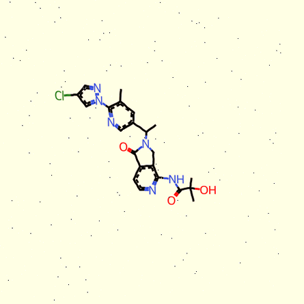 Cc1cc(C(C)N2Cc3c(ccnc3NC(=O)C(C)(C)O)C2=O)cnc1-n1cc(Cl)cn1